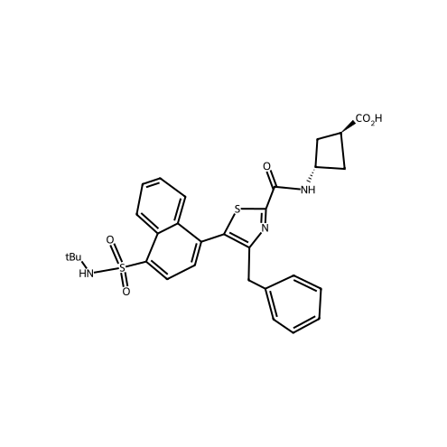 CC(C)(C)NS(=O)(=O)c1ccc(-c2sc(C(=O)N[C@H]3C[C@H](C(=O)O)C3)nc2Cc2ccccc2)c2ccccc12